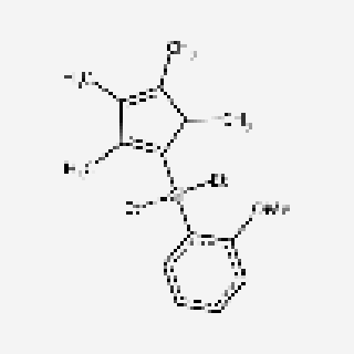 CC[Si](CC)(C1=C(C)C(C)=C(C)C1C)c1ccccc1OC